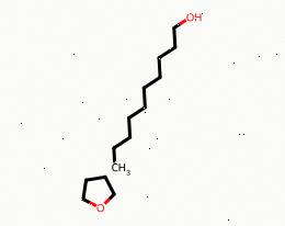 C1CCOC1.CCCCCCCCCCO